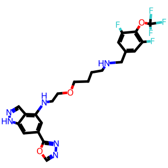 Fc1cc(CNCCCCOCCNc2cc(-c3nnco3)cc3[nH]ncc23)cc(F)c1OC(F)(F)F